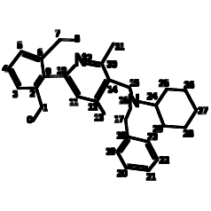 CCc1cccc(CC)c1-c1cc(C)c(CN(Cc2ccccc2)C2CCCCC2)c(C)n1